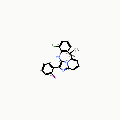 CCc1cccc2nc(-c3ccccc3I)c(Nc3c(C)cccc3Cl)n12